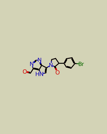 O=Cc1ncnc2c(N3CCC(c4ccc(Br)cc4)C3=O)c[nH]c12